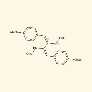 COc1ccc(/C=C(NC=O)\C(=C/c2ccc(OC)cc2)NC=O)cc1